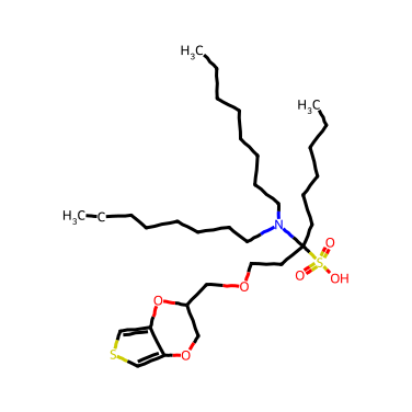 CCCCCCCCN(CCCCCCCC)C(CCCCCC)(CCOCC1COc2cscc2O1)S(=O)(=O)O